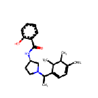 COC1=CC=C(C(C)N2CC[C@@H](NC(=O)c3ccccc3O)C2)C(C)C1C